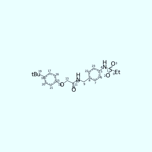 CCS(=O)(=O)Nc1ccc(CNC(=O)COc2ccc(C(C)(C)C)cc2)cc1